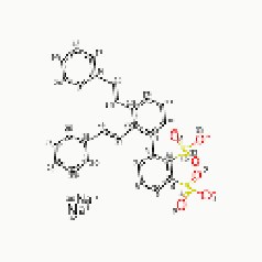 O=S(=O)([O-])c1cccc(-c2cccc(C=Cc3ccccc3)c2C=Cc2ccccc2)c1S(=O)(=O)[O-].[Na+].[Na+]